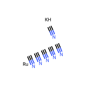 C#N.C#N.C#N.C#N.C#N.C#N.[KH].[Ru]